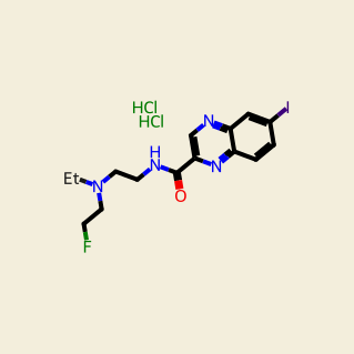 CCN(CCF)CCNC(=O)c1cnc2cc(I)ccc2n1.Cl.Cl